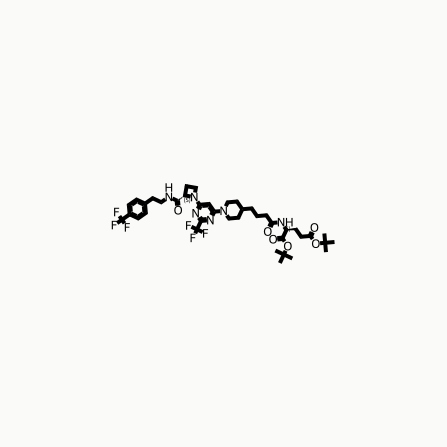 CC(C)(C)OC(=O)CC[C@H](NC(=O)CCCC1CCN(c2cc(N3CC[C@H]3C(=O)NCCc3ccc(C(F)(F)F)cc3)nc(C(F)(F)F)n2)CC1)C(=O)OC(C)(C)C